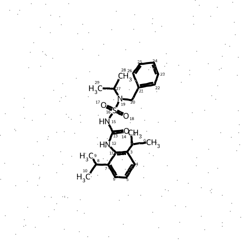 CC(C)c1cccc(C(C)C)c1NC(=O)NS(=O)(=O)N(Cc1ccccc1)C(C)C